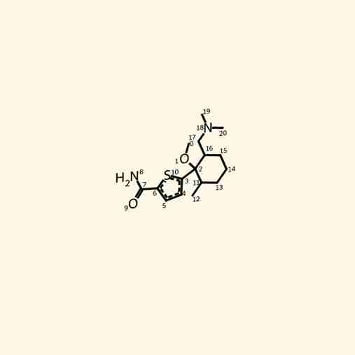 COC1(c2ccc(C(N)=O)s2)C(C)CCCC1CN(C)C